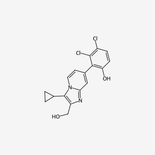 OCc1nc2cc(-c3c(O)ccc(Cl)c3Cl)ccn2c1C1CC1